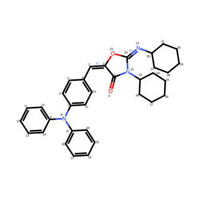 O=C1/C(=C\c2ccc(N(c3ccccc3)c3ccccc3)cc2)O/C(=N/C2CCCCC2)N1C1CCCCC1